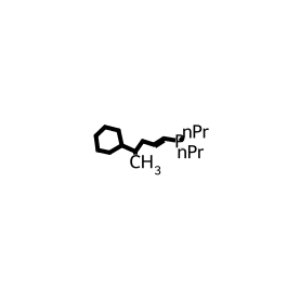 CCCP(C=CCC(C)C1CCCCC1)CCC